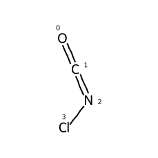 O=C=NCl